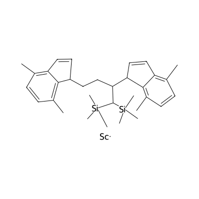 Cc1ccc(C)c2c1C=CC2CCC(C1C=Cc2c(C)ccc(C)c21)C([Si](C)(C)C)[Si](C)(C)C.[Sc]